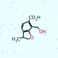 CC1COc2c1ccc(C(=O)O)c2CO